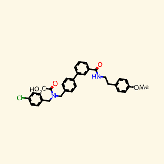 COc1ccc(CCNC(=O)c2cccc(-c3ccc(CN(Cc4ccc(Cl)cc4)C(=O)C(=O)O)cc3)c2)cc1